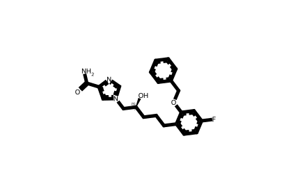 NC(=O)c1cn(C[C@@H](O)CCCc2ccc(F)cc2OCc2ccccc2)cn1